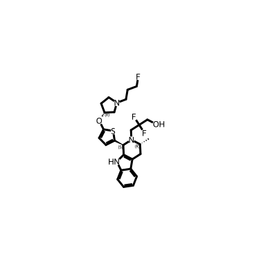 C[C@@H]1Cc2c([nH]c3ccccc23)[C@@H](c2ccc(O[C@@H]3CCN(CCCF)C3)s2)N1CC(F)(F)CO